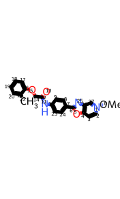 CO[n+]1ccc2oc(-c3ccc(NC(=O)COc4ccccc4C)cc3)nc2c1